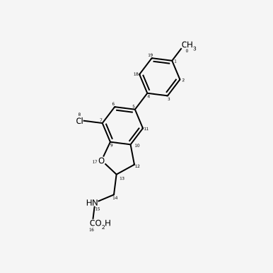 Cc1ccc(-c2cc(Cl)c3c(c2)CC(CNC(=O)O)O3)cc1